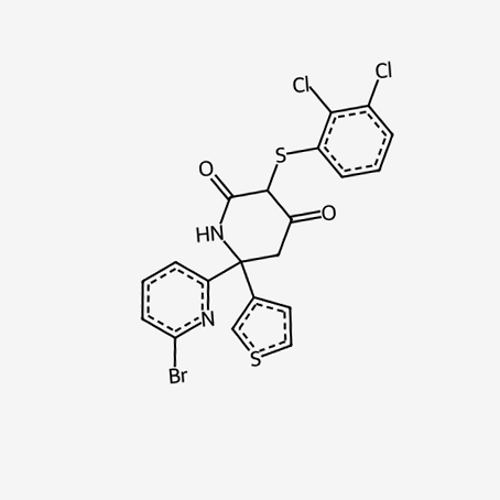 O=C1CC(c2ccsc2)(c2cccc(Br)n2)NC(=O)C1Sc1cccc(Cl)c1Cl